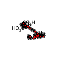 CCOc1ccc(C(=O)N2CCN(c3ccc(-c4ccccc4OCC)nc3CNCCNCCCOCCOCCOCCOCCNC(=O)CN3CCN(CC(=O)O)CCN(CC(=O)O)CCN(CC(=O)O)CC3)[C@H](CC)C2)c(C(F)(F)F)c1.O=C(O)C(F)(F)F